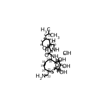 CC(C)C[C@@H]1CCO[C@@H]2[C@H](CN[C@@H]2C(=O)N[C@@H]2CC=CC[C@H](CN)S[C@H]3O[C@H]2[C@H](O)[C@H](O)[C@H]3O)C1.Cl